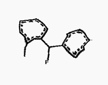 Cc1ccccc1C(F)c1cc[c]cc1